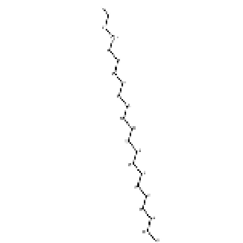 [CH2]CCOCCCCCCCCCCCCCCCCCC